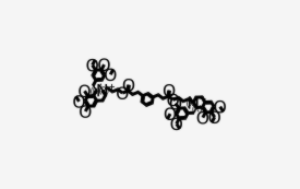 COc1cc(C[C@@H]2c3c(cc(OC)c(OC)c3OC)CC[N@+]2(C)CCCOC(=O)CCc2cccc(CCC(=O)OCCC[N@@+]3(C)CCc4cc(OC)c(OC)c(OC)c4[C@H]3Cc3cc(OC)c(OC)c(OC)c3)c2)cc(OC)c1OC